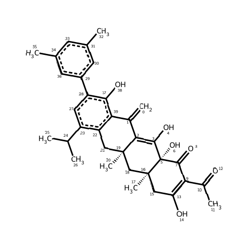 C=C1C2=C(O)[C@@]3(O)C(=O)C(C(C)=O)=C(O)C[C@@]3(C)C[C@@]2(C)Cc2c(C(C)C)cc(-c3cc(C)cc(C)c3)c(O)c21